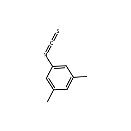 Cc1cc(C)cc(N=C=S)c1